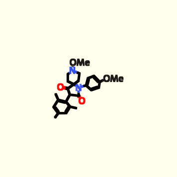 COc1ccc(N2C(=O)C(c3c(C)cc(C)cc3C)C(=O)C23CCN(OC)CC3)cc1